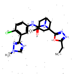 CC1CC2CC(c3nnc(CC#N)o3)(C1)N2C(=O)Nc1ccc(Cl)c(-c2ncn(C)n2)c1